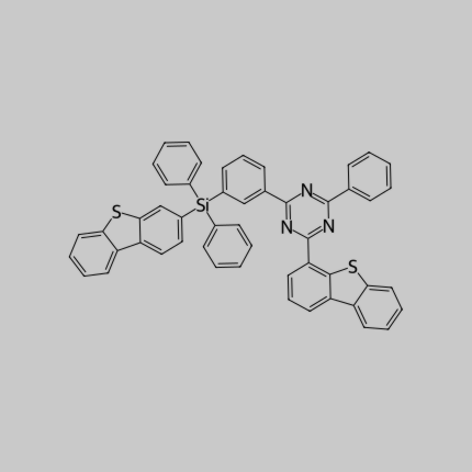 c1ccc(-c2nc(-c3cccc([Si](c4ccccc4)(c4ccccc4)c4ccc5c(c4)sc4ccccc45)c3)nc(-c3cccc4c3sc3ccccc34)n2)cc1